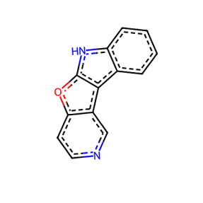 c1ccc2c(c1)[nH]c1oc3ccncc3c12